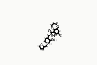 O=C(NCC1CCN(CC2CCCO2)CC1O)c1cc(Cl)cc2c1OCCCO2